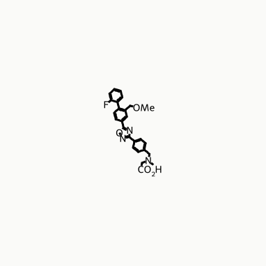 COCc1cc(-c2nc(-c3ccc(CN(C)CC(=O)O)cc3)no2)ccc1-c1ccccc1F